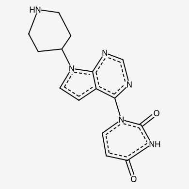 O=c1ccn(-c2ncnc3c2ccn3C2CCNCC2)c(=O)[nH]1